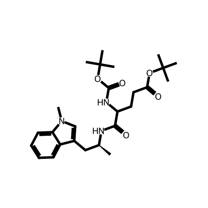 C[C@@H](Cc1cn(C)c2ccccc12)NC(=O)C(CCC(=O)OC(C)(C)C)NC(=O)OC(C)(C)C